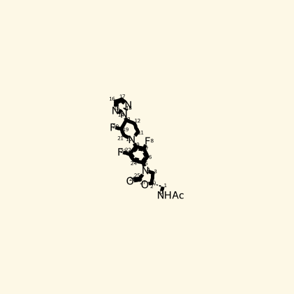 CC(=O)NC[C@H]1CN(c2cc(F)c(N3CCC(n4nccn4)C(F)C3)c(F)c2)C(=O)O1